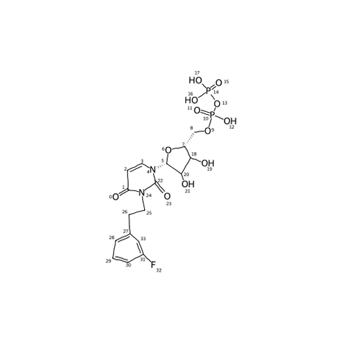 O=c1ccn([C@@H]2O[C@H](COP(=O)(O)OP(=O)(O)O)C(O)C2O)c(=O)n1CCc1cccc(F)c1